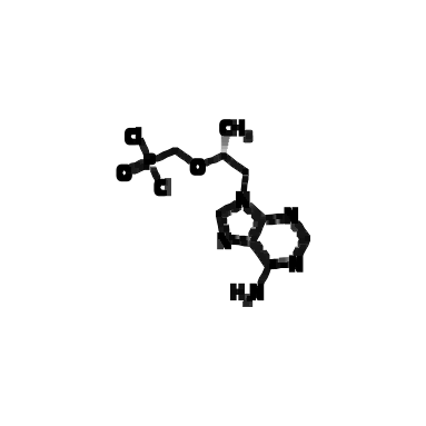 C[C@H](Cn1cnc2c(N)ncnc21)OCP(=O)(Cl)Cl